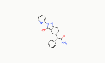 NC(=O)C(c1ccccc1)C1CCc2nn(-c3ccccn3)c(O)c2C1